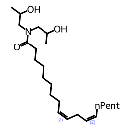 CCCCC/C=C\C/C=C\CCCCCCCC(=O)N(CC(C)O)CC(C)O